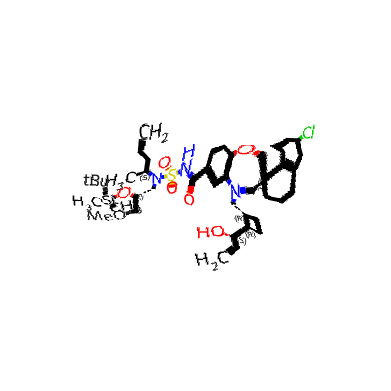 C=CC[C@H](C)N(C[C@H](COC)O[Si](C)(C)C(C)(C)C)S(=O)(=O)NC(=O)c1ccc2c(c1)N(C[C@@H]1CC[C@H]1[C@@H](O)C=C)C[C@@]1(CCCc3cc(Cl)ccc31)CO2